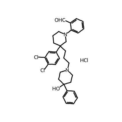 Cl.O=Cc1ccccc1N1CCCC(CCCN2CCC(O)(c3ccccc3)CC2)(c2ccc(Cl)c(Cl)c2)C1